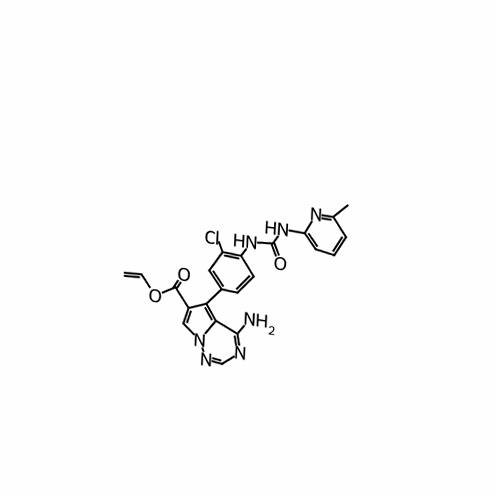 C=COC(=O)c1cn2ncnc(N)c2c1-c1ccc(NC(=O)Nc2cccc(C)n2)c(Cl)c1